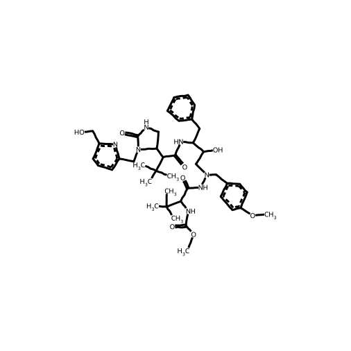 COC(=O)NC(C(=O)NN(Cc1ccc(OC)cc1)CC(O)C(Cc1ccccc1)NC(=O)C(C1CNC(=O)N1Cc1cccc(CO)n1)C(C)(C)C)C(C)(C)C